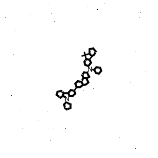 CC1(C)c2ccccc2-c2cc(N(c3ccccc3)c3ccc4c(ccc5cc(-c6ccc7c(c6)c6ccccc6n7-c6ccccc6)ccc54)c3)ccc21